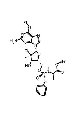 CCOc1nc(N)nc2c1ncn2[C@@H]1O[C@H](COP(=O)(NC(C)C(=O)OC(C)C)Oc2ccccc2)[C@@H](O)[C@@]1(C)Cl